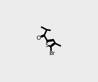 Cc1cc(C(=O)C(C)C)sc1Br